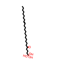 CCCCCCCCC=CCCCCCCCCCCCC(=O)CCCC(O)(O)O